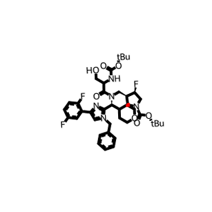 CC(C)(C)OC(=O)NC(CO)C(=O)N(C[C@@H]1CN(C(=O)OC(C)(C)C)C[C@@H]1F)[C@@H](c1nc(-c2cc(F)ccc2F)cn1Cc1ccccc1)C1CCOCC1